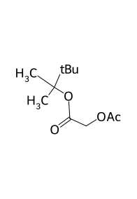 CC(=O)OCC(=O)OC(C)(C)C(C)(C)C